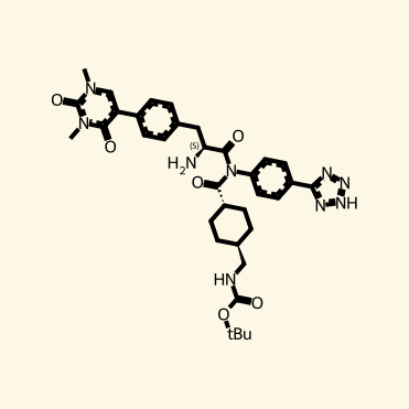 Cn1cc(-c2ccc(C[C@H](N)C(=O)N(c3ccc(-c4nn[nH]n4)cc3)C(=O)[C@H]3CC[C@H](CNC(=O)OC(C)(C)C)CC3)cc2)c(=O)n(C)c1=O